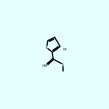 CSC(=N)c1cccs1.I